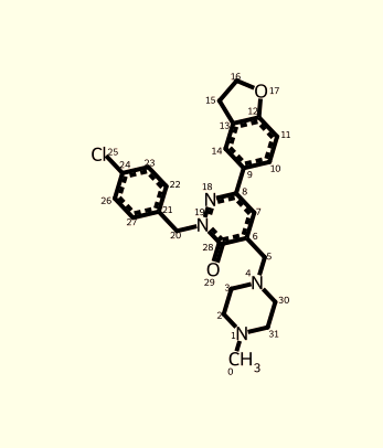 CN1CCN(Cc2cc(-c3ccc4c(c3)CCO4)nn(Cc3ccc(Cl)cc3)c2=O)CC1